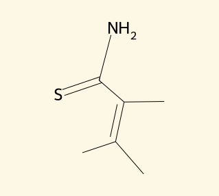 CC(C)=C(C)C(N)=S